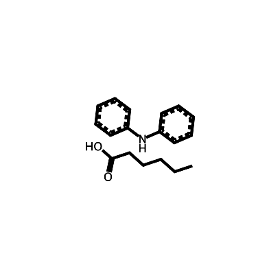 CCCCCC(=O)O.c1ccc(Nc2ccccc2)cc1